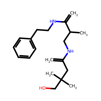 C=C(CC(C)(C)CO)NCC(C)C(=C)NCCc1ccccc1